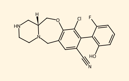 N#Cc1cc2c(c(Cl)c1-c1c(O)cccc1F)OC[C@H]1CNCCN1C2